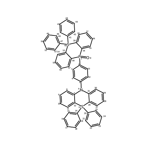 O=P1(c2ccc(N3c4ccccc4S(c4ccccc4)(c4ccccc4)c4ccccc43)cc2)c2ccccc2S(c2ccccc2)(c2ccccc2)c2ccccc21